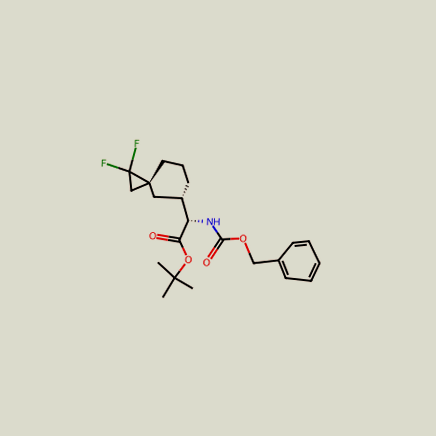 CC(C)(C)OC(=O)[C@@H](NC(=O)OCc1ccccc1)[C@H]1CCC[C@@]2(C1)CC2(F)F